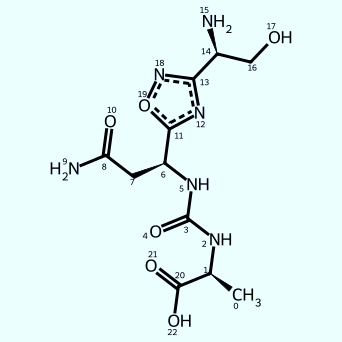 C[C@H](NC(=O)N[C@@H](CC(N)=O)c1nc([C@@H](N)CO)no1)C(=O)O